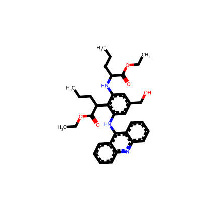 CCCC(Nc1cc(CO)cc(Nc2c3ccccc3nc3ccccc23)c1C(CCC)C(=O)OCC)C(=O)OCC